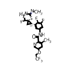 C/N=C(/N)S[C@@]1(C(F)F)C[C@H]1c1cc(NC(=O)c2ncc(OCC(F)(F)F)cc2C)cc(F)c1F